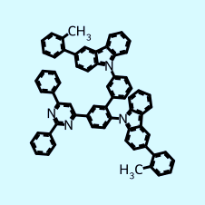 Cc1ccccc1-c1ccc2c(c1)c1ccccc1n2-c1cccc(-c2cc(-c3cc(-c4ccccc4)nc(-c4ccccc4)n3)ccc2-n2c3ccccc3c3cc(-c4ccccc4C)ccc32)c1